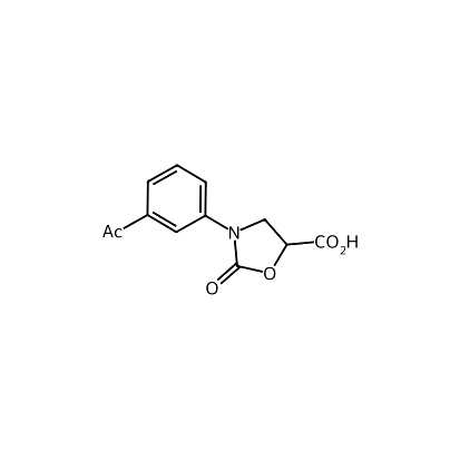 CC(=O)c1cccc(N2CC(C(=O)O)OC2=O)c1